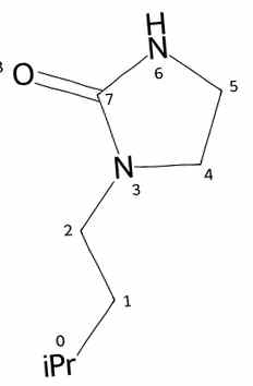 CC(C)CCN1CCNC1=O